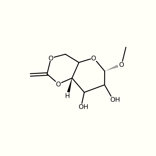 C=C1OCC2O[C@H](OC)C(O)C(O)[C@@H]2O1